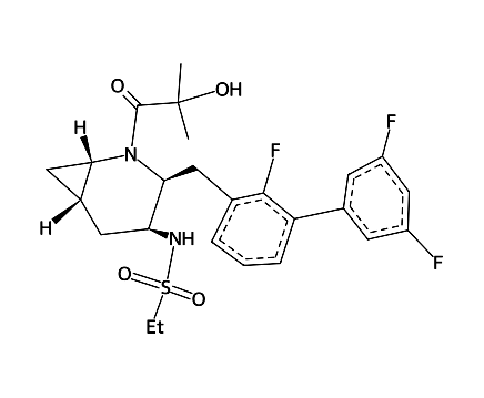 CCS(=O)(=O)N[C@H]1C[C@@H]2C[C@@H]2N(C(=O)C(C)(C)O)[C@H]1Cc1cccc(-c2cc(F)cc(F)c2)c1F